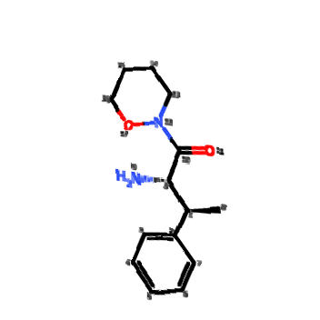 C[C@@H](c1ccccc1)[C@H](N)C(=O)N1CCCCO1